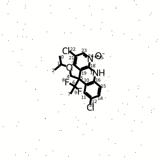 CC(C)OCC1(C(C)(F)F)c2cc(Cl)ccc2Nc2c1cc(Cl)c[n+]2[O-]